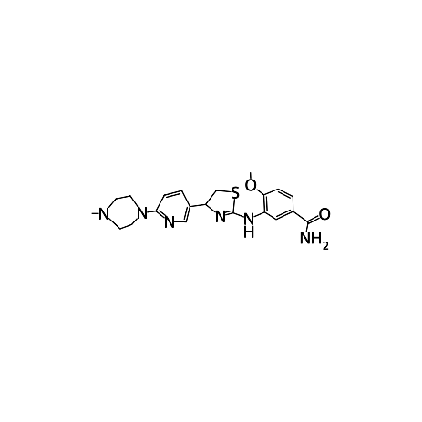 COc1ccc(C(N)=O)cc1NC1=NC(c2ccc(N3CCN(C)CC3)nc2)CS1